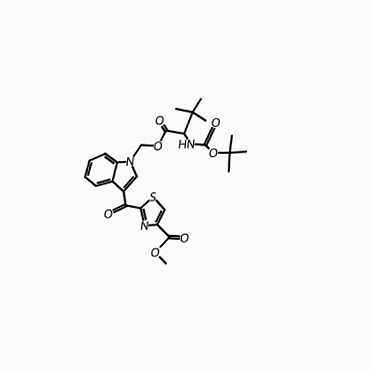 COC(=O)c1csc(C(=O)c2cn(COC(=O)C(NC(=O)OC(C)(C)C)C(C)(C)C)c3ccccc23)n1